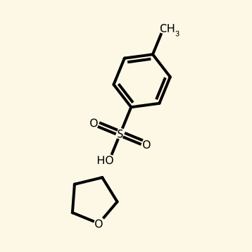 C1CCOC1.Cc1ccc(S(=O)(=O)O)cc1